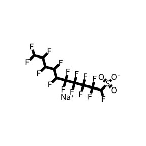 O=S(=O)([O-])C(F)C(F)(F)C(F)(F)C(F)(F)C(F)(F)C(F)C(F)C(F)C(F)C(F)F.[Na+]